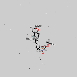 COC(=O)[C@@H](C)Cc1cccc([C@@](C)(CCCC(C)(C)CS(=O)(=O)CCO[Si](C)(C)C(C)(C)C)C(=O)O)c1F